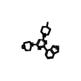 CC1CCN(c2cc(N3CCOCC3)nc(-c3cccc4c3C=NC4)n2)CC1